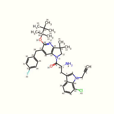 C#CCn1cc(C[C@@H](N)C(=O)N2CC(C)(C)c3nc(O[Si](C)(C)C(C)(C)C)c(Cc4ccc(F)cc4)cc32)c2cccc(Cl)c21